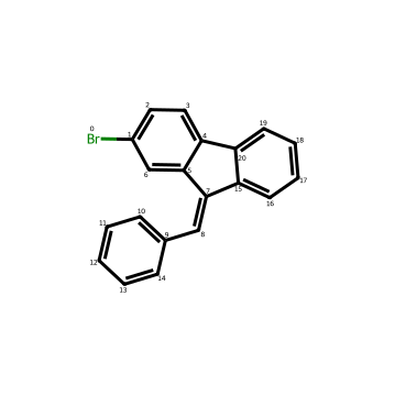 Brc1ccc2c(c1)C(=Cc1ccccc1)c1ccccc1-2